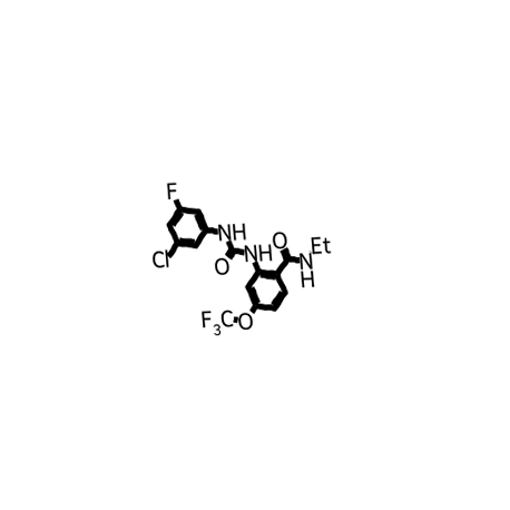 CCNC(=O)c1ccc(OC(F)(F)F)cc1NC(=O)Nc1cc(F)cc(Cl)c1